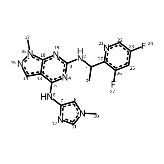 CC(Nc1nc(Nc2cn(C)cn2)c2cnn(C)c2n1)c1ncc(F)cc1F